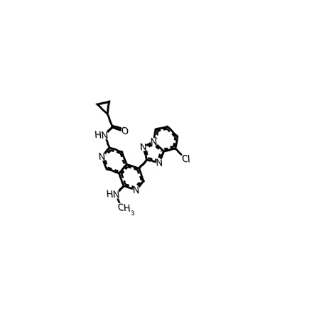 CNc1ncc(-c2nc3c(Cl)cccn3n2)c2cc(NC(=O)C3CC3)ncc12